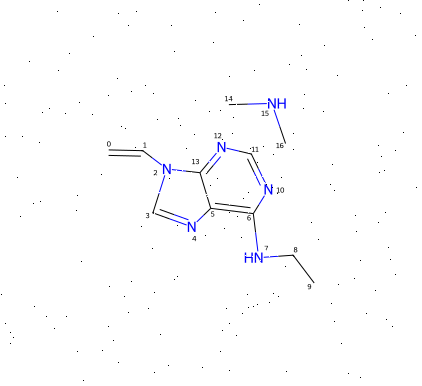 C=Cn1cnc2c(NCC)ncnc21.CNC